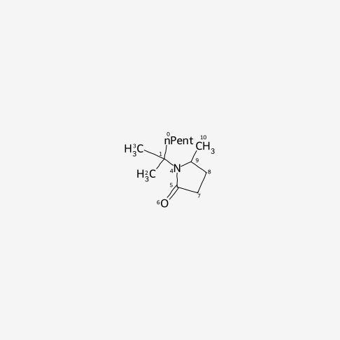 CCCCCC(C)(C)N1C(=O)CCC1C